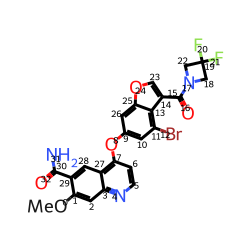 COc1cc2nccc(Oc3cc(Br)c4c(C(=O)N5CC(F)(F)C5)coc4c3)c2cc1C(N)=O